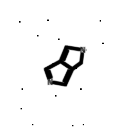 C1=NC=C2C[N]C=C12